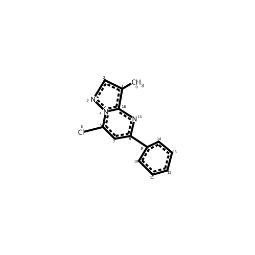 Cc1cnn2c(Cl)cc(-c3ccccc3)nc12